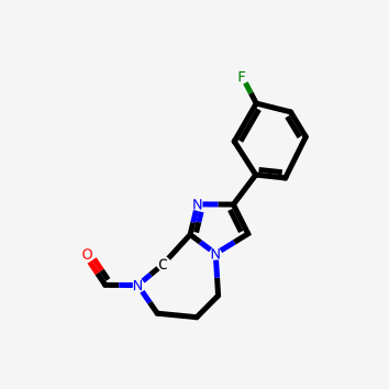 O=CN1CCCn2cc(-c3cccc(F)c3)nc2C1